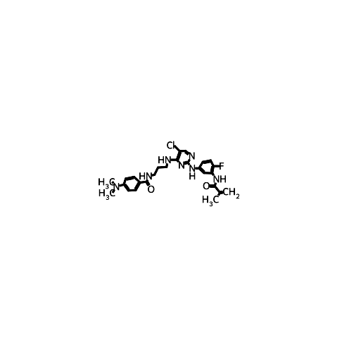 C=C(C)C(=O)Nc1cc(Nc2ncc(Cl)c(NCCCNC(=O)c3ccc(N(C)C)cc3)n2)ccc1F